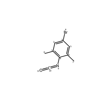 Cc1cc(Br)cc(C)c1N=C=O